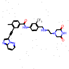 Cc1ccc(C(=O)Nc2ccc(CNCCN3CC(=O)NC(=O)C3)c(C(F)(F)F)c2)cc1C#Cc1cnc2cccnn12